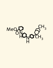 COC(=O)c1ccccc1Nc1ccc(Nc2ccc(C3(C)CC4CC(C)CC(C4)C3)cc2)cc1